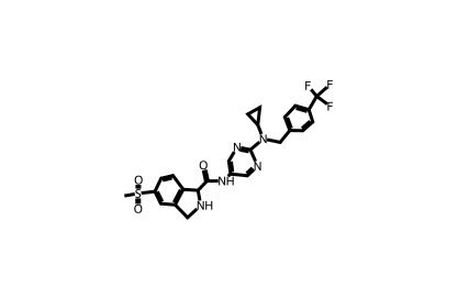 CS(=O)(=O)c1ccc2c(c1)CNC2C(=O)Nc1cnc(N(Cc2ccc(C(F)(F)F)cc2)C2CC2)nc1